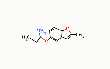 CCC(N)Oc1ccc2oc(C)cc2c1